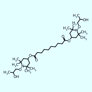 CC(O)CON1C(C)(C)CC(OC(=O)CCCCCCCCC(=O)OC2CC(C)(C)N(OCC(C)O)C(C)(C)C2)CC1(C)C